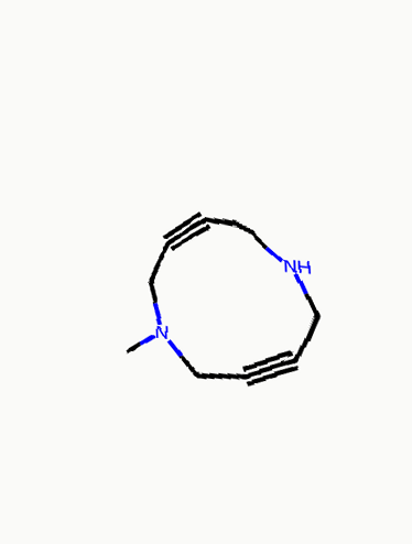 CN1CC#CCNCC#CC1